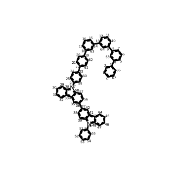 c1ccc(-c2cccc(-c3cccc(-c4cccc(-c5ccc(-c6ccc(-n7c8ccccc8c8cc(-c9ccc%10c(c9)c9ccccc9n%10-c9ccccc9)ccc87)cc6)cc5)c4)c3)c2)cc1